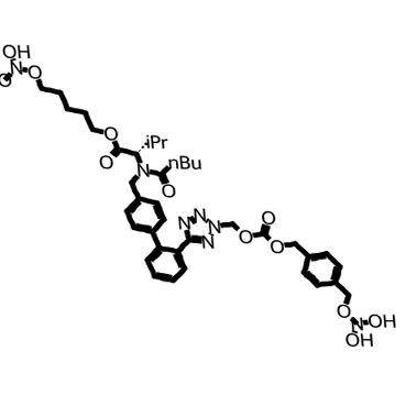 CCCCC(=O)N(Cc1ccc(-c2ccccc2-c2nnn(COC(=O)OCc3ccc(CON(O)O)cc3)n2)cc1)[C@H](C(=O)OCCCCCON(O)O)C(C)C